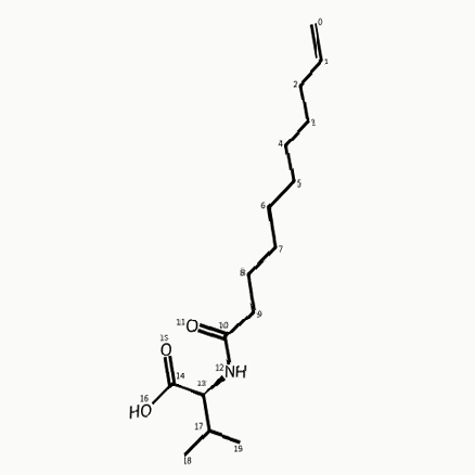 C=CCCCCCCCCC(=O)N[C@H](C(=O)O)C(C)C